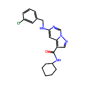 O=C(NC1CCCCC1)c1cnn2cnc(NCc3cccc(Cl)c3)cc12